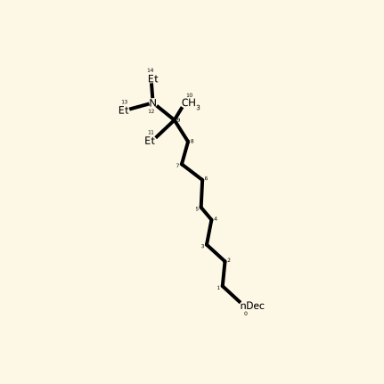 CCCCCCCCCCCCCCCCCCC(C)(CC)N(CC)CC